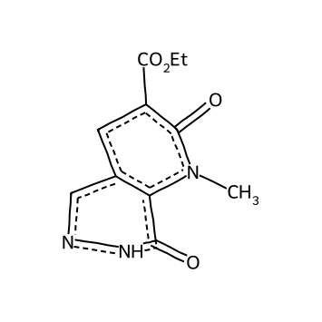 CCOC(=O)c1cc2cn[nH]c(=O)c2n(C)c1=O